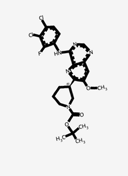 COc1cc2ncnc(Nc3ccc(Cl)c(Cl)c3F)c2nc1[C@@H]1CCCN(C(=O)OC(C)(C)C)C1